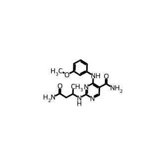 COc1cccc(Nc2nc(NC(C)CC(N)=O)ncc2C(N)=O)c1